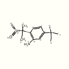 CC(C)(c1ccc(C(F)(F)F)cc1N)[SH](=O)=O